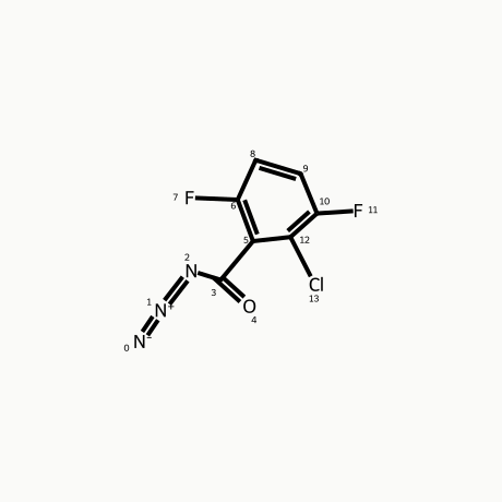 [N-]=[N+]=NC(=O)c1c(F)ccc(F)c1Cl